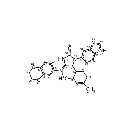 CC1=CC(C)C(C2C(=Nc3ccc4c(c3)OCCO4)NC(=O)N2c2ccc3[nH]cnc3c2)CC1